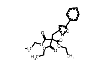 CCOC(=O)C(Cc1cc(-c2ccccc2)on1)(C(=O)OCC)C(=O)OCC